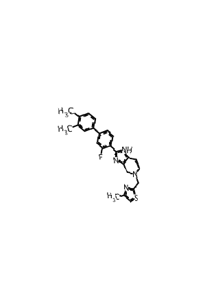 Cc1csc(CN2C=Cc3[nH]c(-c4ccc(-c5ccc(C)c(C)c5)cc4F)nc3C2)n1